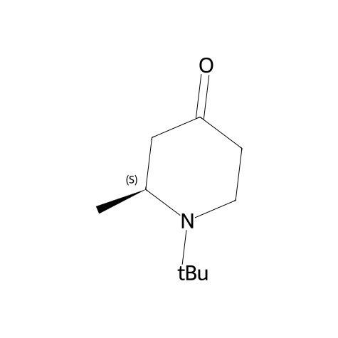 C[C@H]1CC(=O)CCN1C(C)(C)C